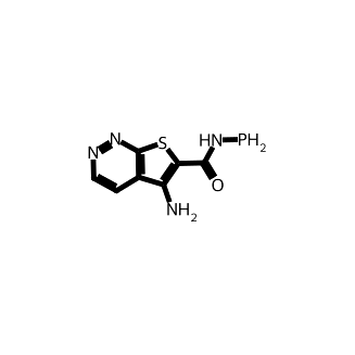 Nc1c(C(=O)NP)sc2nnccc12